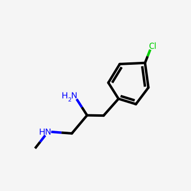 CNCC(N)Cc1ccc(Cl)cc1